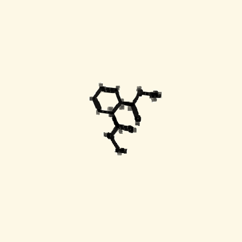 CCCCOC(=O)[C@H]1C=CC=C[C@H]1C(=O)OCCCC